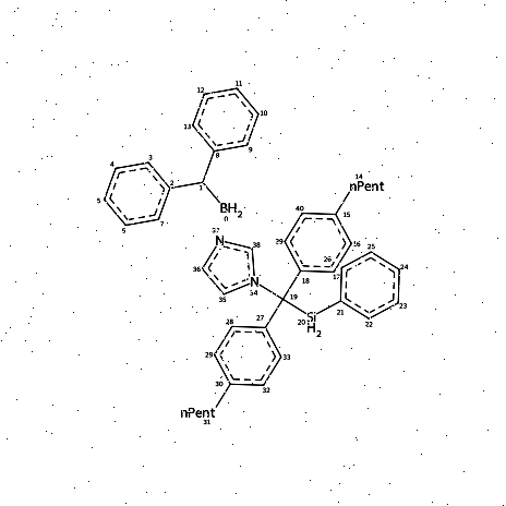 BC(c1ccccc1)c1ccccc1.CCCCCc1ccc(C([SiH2]c2ccccc2)(c2ccc(CCCCC)cc2)n2ccnc2)cc1